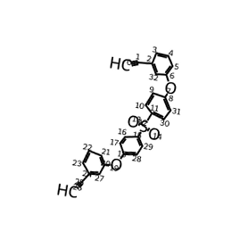 C#Cc1cccc(Oc2ccc(S(=O)(=O)c3ccc(Oc4cccc(C#C)c4)cc3)cc2)c1